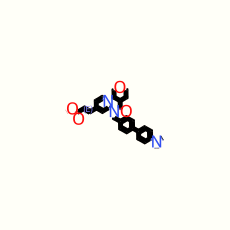 COC(=O)/C=C/c1ccnc(N(Cc2ccc(-c3ccc(N(C)C)cc3)cc2)C(=O)C2CCOCC2)c1